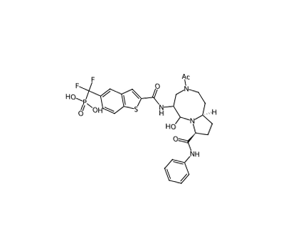 CC(=O)N1CC[C@H]2CC[C@@H](C(=O)Nc3ccccc3)N2C(O)C(NC(=O)c2cc3cc(C(F)(F)P(=O)(O)O)ccc3s2)C1